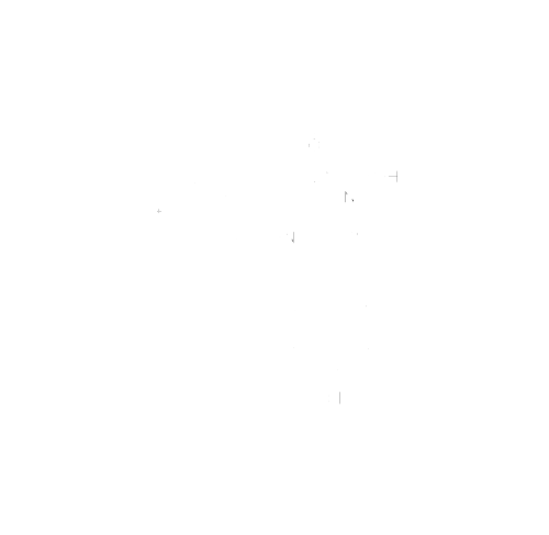 Cc1cc(-c2cn(O)c(=O)c(Cc3ccccc3)n2)ccc1Cl